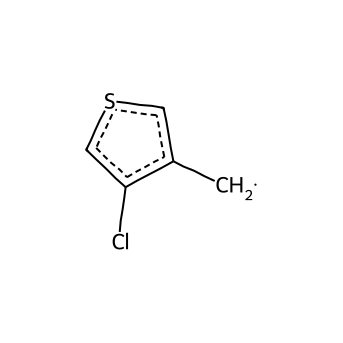 [CH2]c1cscc1Cl